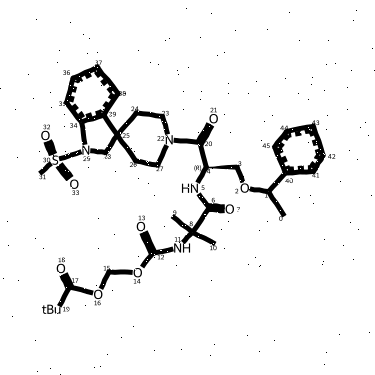 CC(OC[C@@H](NC(=O)C(C)(C)NC(=O)OCOC(=O)C(C)(C)C)C(=O)N1CCC2(CC1)CN(S(C)(=O)=O)c1ccccc12)c1ccccc1